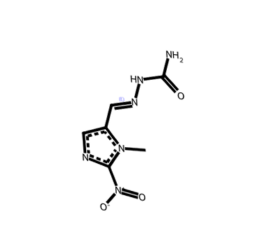 Cn1c(/C=N/NC(N)=O)cnc1[N+](=O)[O-]